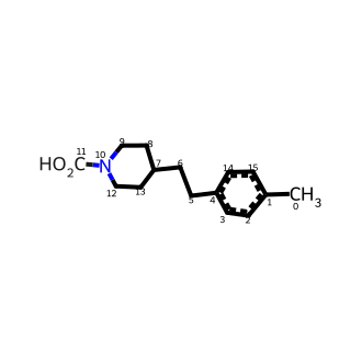 Cc1ccc(CCC2CCN(C(=O)O)CC2)cc1